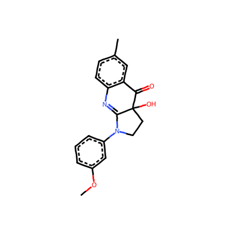 COc1cccc(N2CCC3(O)C(=O)c4cc(C)ccc4N=C23)c1